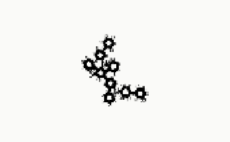 C1=Cc2c(n(-c3cccc(-c4ccccc4)c3)c3c2c(-c2ccc4c(c2)c2ccccc2n4C2C=CC(c4ccccc4)=CC2)cc2sc4ccccc4c23)CC1